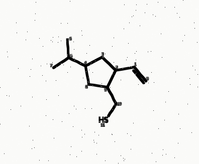 C=CC1CC(C(C)C)CC1CS